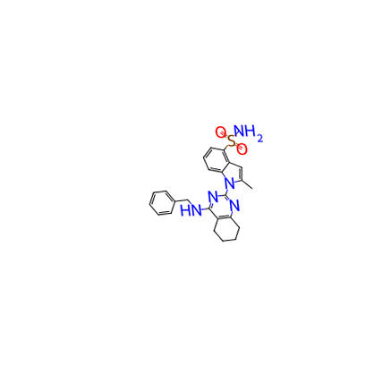 Cc1cc2c(S(N)(=O)=O)cccc2n1-c1nc2c(c(NCc3ccccc3)n1)CCCC2